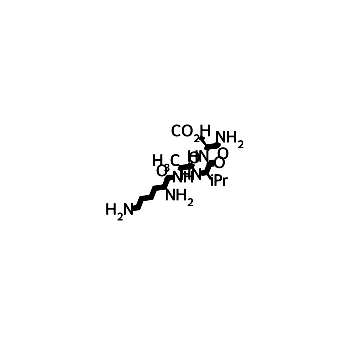 CC(C)[C@@H](NC(=O)[C@@H](C)NC(=O)[C@@H](N)CCCCN)C(=O)N[C@@H](CC(=O)O)C(N)=O